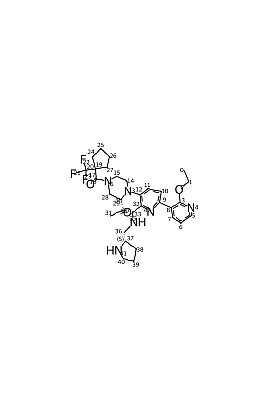 CCOc1ncccc1-c1ccc(N2CCN(C(=O)C3(C(F)(F)F)CCCC3)C[C@H]2CC)c(C(=O)NC[C@@H]2CCCN2)n1